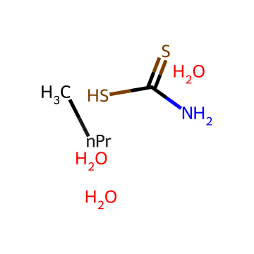 CCCC.NC(=S)S.O.O.O